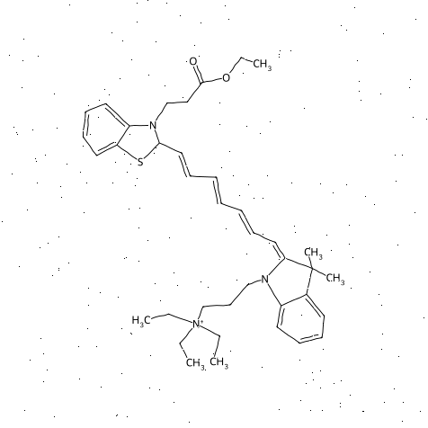 CCOC(=O)CCN1c2ccccc2SC1C=CC=CC=CC=C1N(CCC[N+](CC)(CC)CC)c2ccccc2C1(C)C